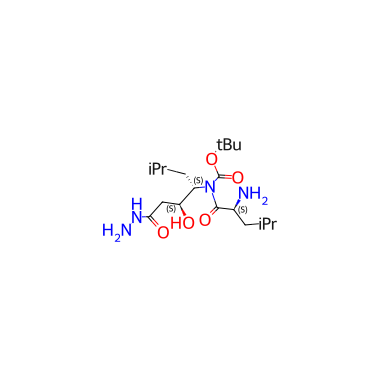 CC(C)C[C@H](N)C(=O)N(C(=O)OC(C)(C)C)[C@@H](CC(C)C)[C@@H](O)CC(=O)NN